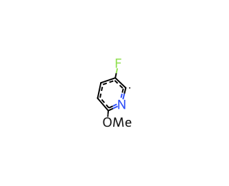 COc1ccc(F)[c]n1